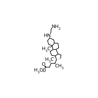 COC(=O)CC[C@H](C)[C@H]1CCC2C3CCC4C[C@@H](NCCN)CCC4(C)C3CC[C@@]21C